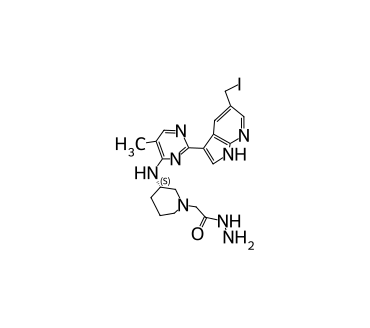 Cc1cnc(-c2c[nH]c3ncc(CI)cc23)nc1N[C@H]1CCCN(CC(=O)NN)C1